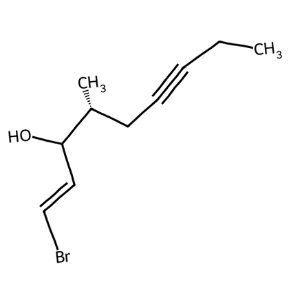 CCC#CC[C@@H](C)C(O)/C=C/Br